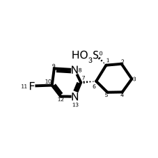 O=S(=O)(O)[C@@H]1CCCC[C@@H]1c1ncc(F)cn1